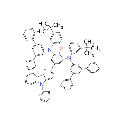 CC(C)(C)c1ccc2c(c1)N(c1cc(-c3ccccc3)cc(-c3ccccc3)c1)c1cc(-c3ccc4c(c3)c3ccccc3n4-c3ccccc3)cc3c1B2c1ccc(C(C)(C)C)cc1N3c1cc(-c2ccccc2)cc(-c2ccccc2)c1